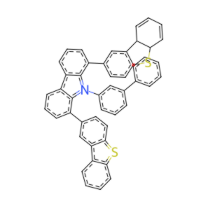 C1=CC2Sc3ccc(-c4cccc5c6cccc(-c7ccc8sc9ccccc9c8c7)c6n(-c6cccc(-c7ccccc7)c6)c45)cc3C2C=C1